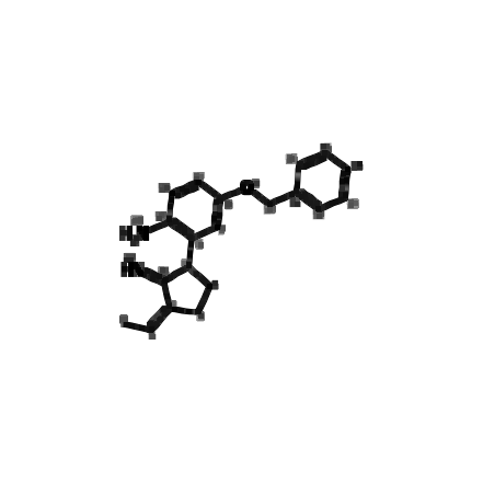 CC=C1CCC(c2cc(OCc3ccccc3)ccc2N)C1=N